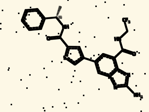 C[C@H](NC(=O)c1cc(-c2cc(C(=O)NCC(F)(F)F)c3nc(N)nn3c2)cs1)c1ccccc1